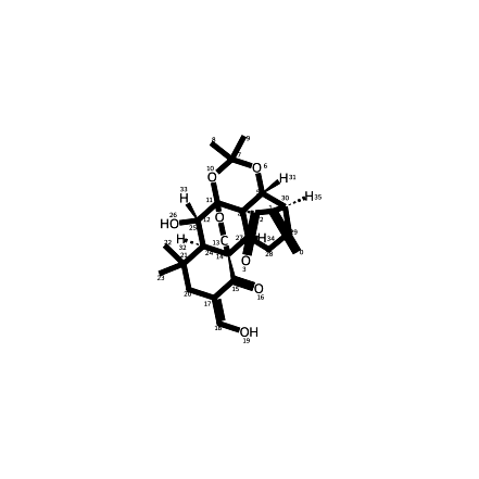 C=C1C(=O)[C@@]23[C@@H]4OC(C)(C)OC25OC[C@]2(C(=O)/C(=C\O)CC(C)(C)[C@H]2[C@@H]5O)[C@@H]3CC[C@@H]14